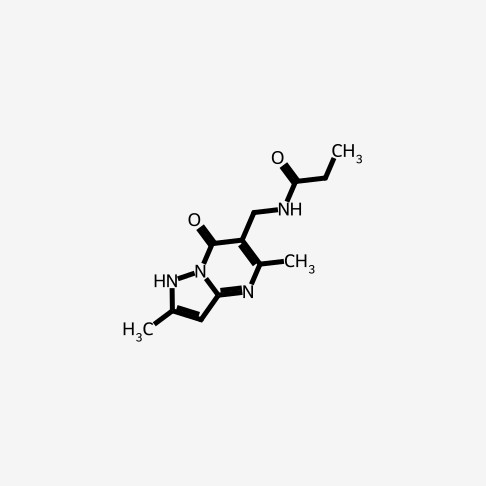 CCC(=O)NCc1c(C)nc2cc(C)[nH]n2c1=O